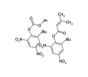 CCC(C)c1cc([N+](=O)[O-])cc([N+](=O)[O-])c1OC(=O)C=C(C)C.CCC(C)c1cc([N+](=O)[O-])cc([N+](=O)[O-])c1OC(=O)OC(C)C